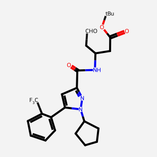 CC(C)(C)OC(=O)CC(CC=O)NC(=O)c1cc(-c2ccccc2C(F)(F)F)n(C2CCCC2)n1